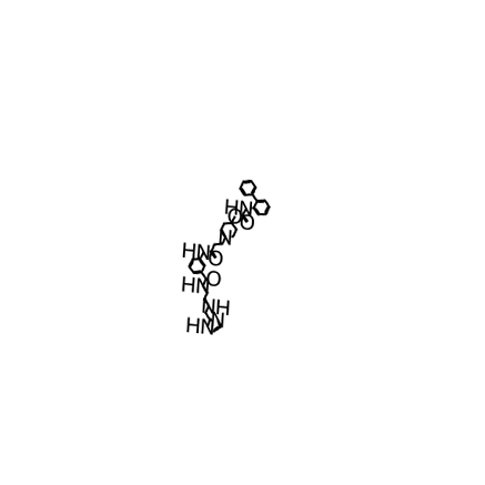 O=C(CCN1CCC(OC(=O)Nc2ccccc2-c2ccccc2)CC1)Nc1cccc(C(=O)NCCNCc2ncc[nH]2)c1